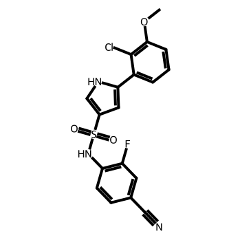 COc1cccc(-c2cc(S(=O)(=O)Nc3ccc(C#N)cc3F)c[nH]2)c1Cl